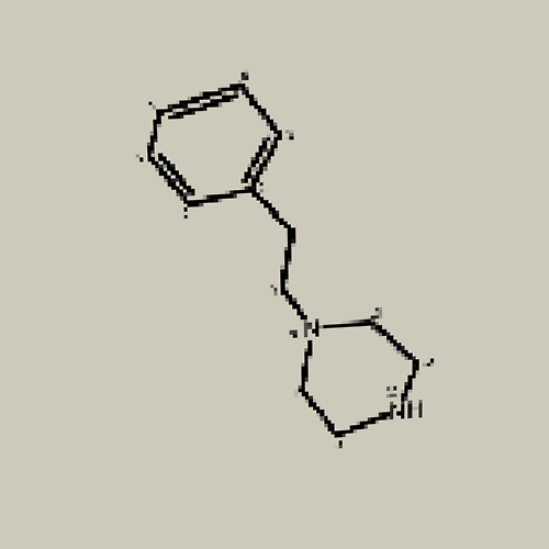 [CH](Cc1ccccc1)N1CCNCC1